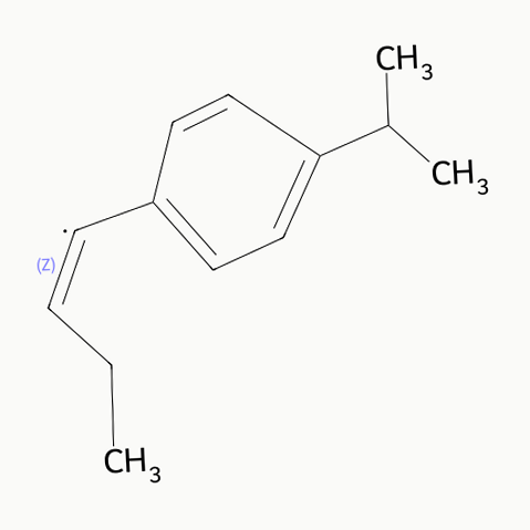 CC/C=[C]\c1ccc(C(C)C)cc1